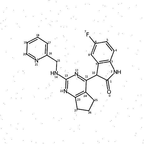 O=C1Nc2ccc(F)cc2C1c1nc(NCc2ccccn2)nc2c1CCC2